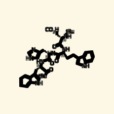 CC(C)(C)N[C@@H](CC(=O)O)C(=O)N[C@@H](CCc1c[nH]c2ccccc12)C(=O)N[C@@H](Cc1c[nH]cn1)C(=O)N[C@@H](Cc1c[nH]c2ccccc12)C(=O)C(C)(C)C